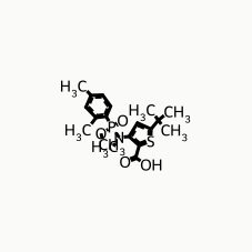 COP(=O)(c1ccc(C)cc1C)N(C)c1cc(C(C)(C)C)sc1C(=O)O